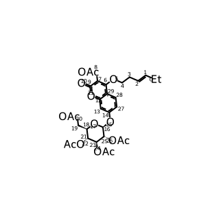 CCC=CCCOc1c(OC(C)=O)c(=O)oc2cc(O[C@@H]3O[C@H](COC(C)=O)[C@@H](OC(C)=O)[C@H](OC(C)=O)[C@H]3OC(C)=O)ccc12